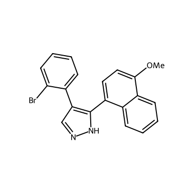 COc1ccc(-c2[nH]ncc2-c2ccccc2Br)c2ccccc12